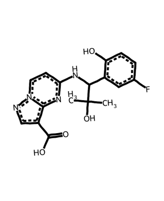 CC(C)(O)C(Nc1ccn2ncc(C(=O)O)c2n1)c1cc(F)ccc1O